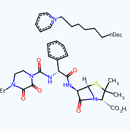 CCCCCCCCCCCCCCCC[n+]1ccccc1.CCN1CCN(C(=O)N[C@@H](C(=O)N[C@@H]2C(=O)N3[C@@H]2SC(C)(C)[C@@H]3C(=O)O)c2ccccc2)C(=O)C1=O